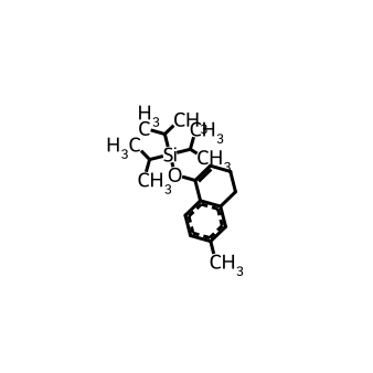 Cc1ccc2c(c1)CCC=C2O[Si](C(C)C)(C(C)C)C(C)C